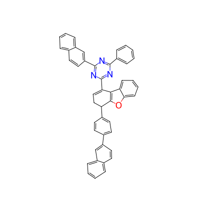 C1=C(c2nc(-c3ccccc3)nc(-c3ccc4ccccc4c3)n2)c2c(oc3ccccc23)C(c2ccc(-c3ccc4ccccc4c3)cc2)C1